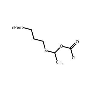 CCCCCCCCSC(C)OC(=O)Cl